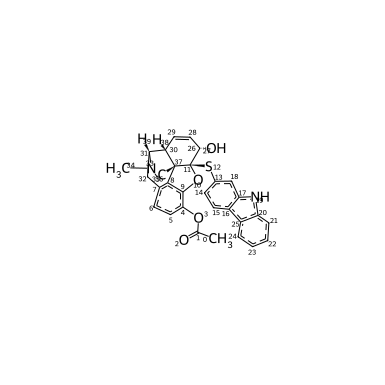 CC(=O)Oc1ccc2c3c1O[C@@]1(Sc4ccc5c(c4)[nH]c4ccccc45)[C@@H](O)C=C[C@H]4[C@@H](C2)N(C)CC[C@@]341